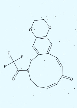 O=C1/C=C\CCN(C(=O)C(F)(F)F)Cc2cc3c(cc2/C=C\1)OCCO3